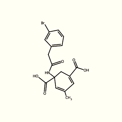 CC1=CC(NC(=O)Cc2cccc(Br)c2)(C(=O)O)CC(C(=O)O)=C1